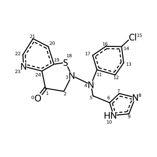 O=C1CN(N(Cc2cnc[nH]2)c2ccc(Cl)cc2)Sc2cccnc21